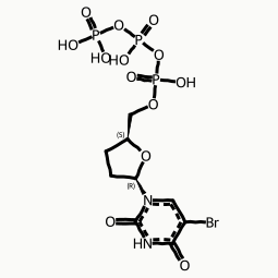 O=c1[nH]c(=O)n([C@H]2CC[C@@H](COP(=O)(O)OP(=O)(O)OP(=O)(O)O)O2)cc1Br